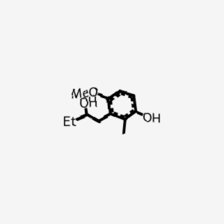 CCC(O)Cc1c(OC)ccc(O)c1C